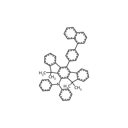 CC1(C)c2ccccc2-c2c(-c3ccc(-c4cccc5ccccc45)cc3)c3c(c(N(c4ccccc4)c4ccccc4)c21)C(C)(C)c1ccccc1-3